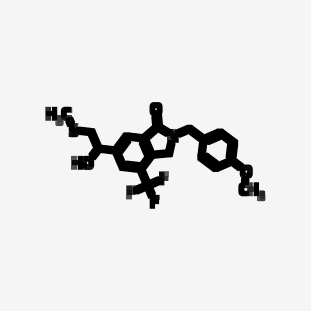 COc1ccc(CN2Cc3c(cc(C(O)CSC)cc3C(F)(F)F)C2=O)cc1